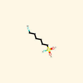 O=S(=O)(F)CCCCCCF